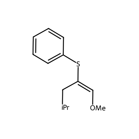 CO/C=C(\CC(C)C)Sc1ccccc1